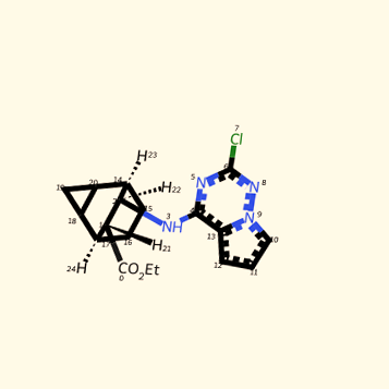 CCOC(=O)[C@H]1[C@H](Nc2nc(Cl)nn3cccc23)[C@@H]2CC[C@H]1C1CC12